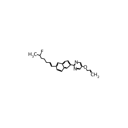 C=CCOc1cnc(-c2ccc3cc(C=CCCCC(C)F)ccc3c2)nc1